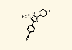 Cl.Cl.N#Cc1ccc(-c2c[nH]c(C3CCNCC3)n2)cc1